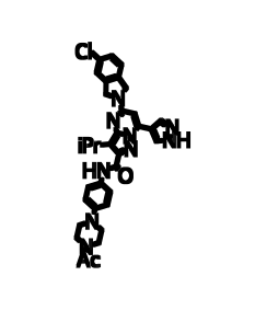 CC(=O)N1CCN(c2ccc(NC(=O)c3nn4c(-c5cn[nH]c5)cc(N5Cc6ccc(Cl)cc6C5)nc4c3C(C)C)cc2)CC1